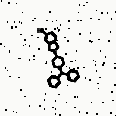 Oc1ccc2c(c1)CN(C1CCN(C(c3ccccc3)c3ccccc3)CC1)C2